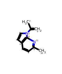 C=C(C)n1ccc2ccc(C)nc21